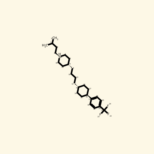 CC(C)CC[Si@H]1CC[C@H](CCCC[C@H]2CC[C@H](c3ccc(C(F)(F)F)cc3)CC2)CC1